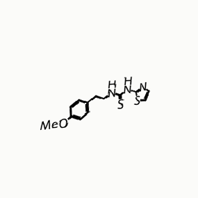 COc1ccc(CCNC(=S)Nc2nccs2)cc1